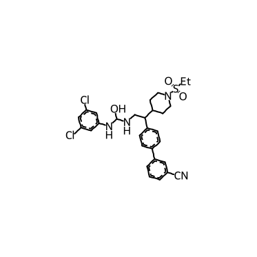 CCS(=O)(=O)N1CCC(C(CNC(O)Nc2cc(Cl)cc(Cl)c2)c2ccc(-c3cccc(C#N)c3)cc2)CC1